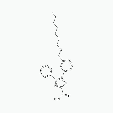 CCCCCCCOCc1cccc(-n2nc(C(N)=O)nc2-c2ccccc2)c1